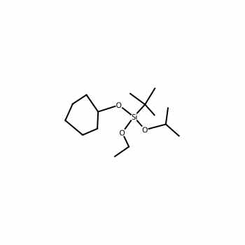 CCO[Si](OC(C)C)(OC1CCCCC1)C(C)(C)C